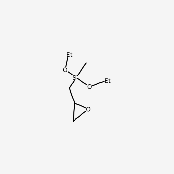 CCO[Si](C)(CC1CO1)OCC